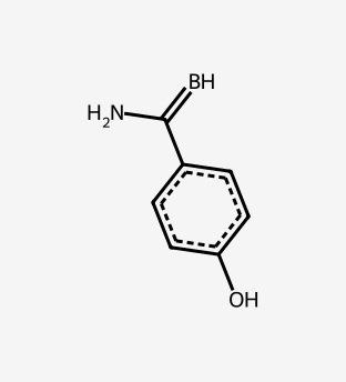 B=C(N)c1ccc(O)cc1